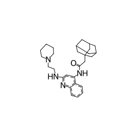 O=C(CC12CC3CC(CC(C3)C1)C2)Nc1cc(NCCN2CCCCC2)nc2ccccc12